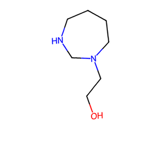 OCCN1CCCCNC1